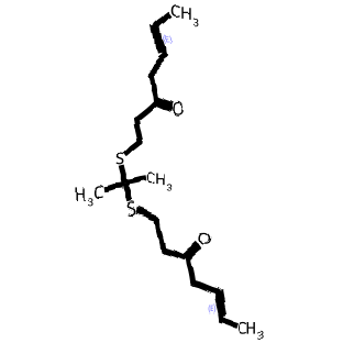 C/C=C/CC(=O)CCSC(C)(C)SCCC(=O)C/C=C/C